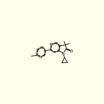 Cc1ccc(-c2cc3c(cn2)C(C)(C)C(=O)N3C2CC2)cn1